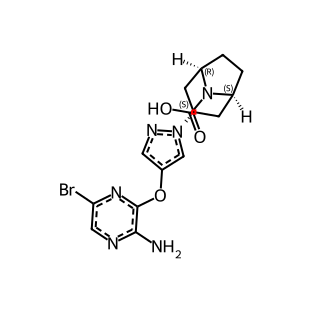 Nc1ncc(Br)nc1Oc1cnn([C@@H]2C[C@H]3CC[C@@H](C2)N3C(=O)O)c1